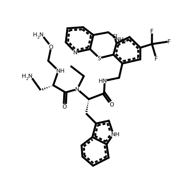 CCN(C(=O)[C@H](CN)NCON)[C@@H](Cc1c[nH]c2ccccc12)C(=O)NCc1cc(C(F)(F)F)cc(Cl)c1Sc1ncccc1CN